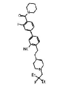 CCC(F)(CC)CN1CCC(CCc2ccc(-c3ccc(C(=O)N4CCCCC4)c(F)c3)cc2C#N)CC1